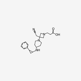 N#CCC1(N2CCC(NC3CC3c3ccccc3)CC2)CN(CCC(=O)O)C1